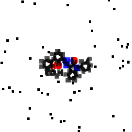 Cc1cccc(N2C(=O)/C(=N\Nc3cccc(-c4cccc(C(=O)O)c4)c3O)c3ccccc32)c1